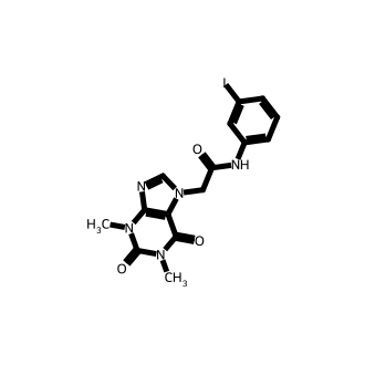 Cn1c(=O)c2c(ncn2CC(=O)Nc2cccc(I)c2)n(C)c1=O